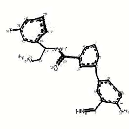 N=Cc1cc(-c2cccc(C(=O)NC(CN)c3cccc(F)c3)c2)ccc1N